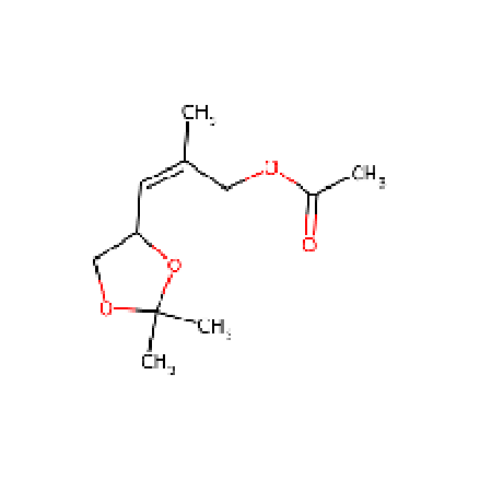 CC(=O)OCC(C)=CC1COC(C)(C)O1